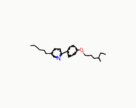 CCCCCc1ccc(-c2ccc(OCCCC(C)CC)cc2)nc1